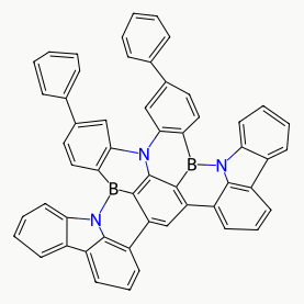 c1ccc(-c2ccc3c(c2)N2c4cc(-c5ccccc5)ccc4B4c5c(cc6c(c52)B3n2c3ccccc3c3cccc-6c32)-c2cccc3c5ccccc5n4c23)cc1